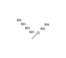 CCl.[KH].[KH].[KH].[KH].[KH].[KH]